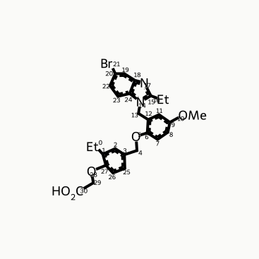 CCc1cc(COc2ccc(OC)cc2Cn2c(CC)nc3cc(Br)ccc32)ccc1OCC(=O)O